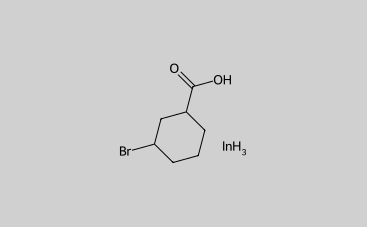 O=C(O)C1CCCC(Br)C1.[InH3]